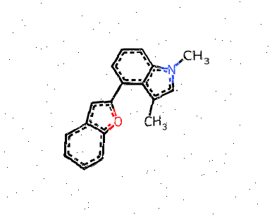 Cc1[c]n(C)c2cccc(-c3cc4ccccc4o3)c12